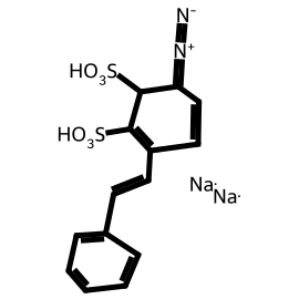 [N-]=[N+]=C1C=CC(C=Cc2ccccc2)=C(S(=O)(=O)O)C1S(=O)(=O)O.[Na].[Na]